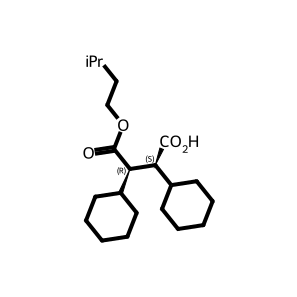 CC(C)CCOC(=O)[C@H](C1CCCCC1)[C@@H](C(=O)O)C1CCCCC1